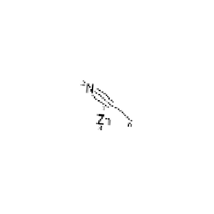 CC#N.[Zn]